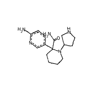 NC(=O)C1(c2ccc(N)nc2)CCCCN1C1CCNC1